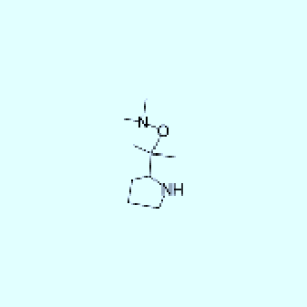 CN(C)OC(C)(C)C1CCCN1